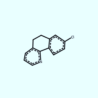 Clc1ccc2c(c1)CCc1cccnc1-2